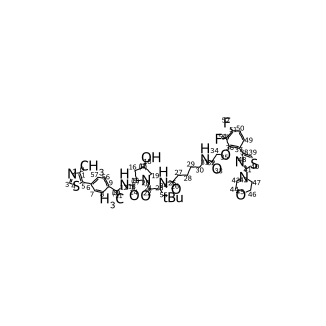 Cc1ncsc1-c1ccc([C@H](C)NC(=O)[C@@H]2C[C@@H](O)CN2C(=O)C(NC(=O)CCCCNC(=O)COc2c(-c3csc(N4CCOCC4)n3)ccc(F)c2F)C(C)(C)C)cc1